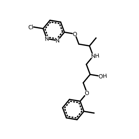 Cc1ccccc1OCC(O)CNC(C)COc1ccc(Cl)nn1